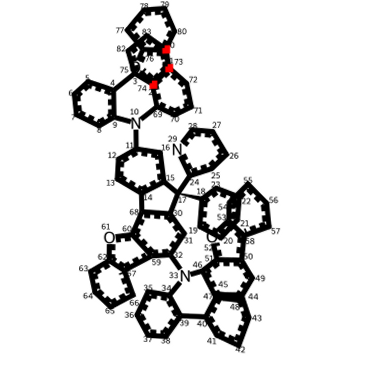 c1ccc(-c2ccccc2N(c2ccc3c(c2)[C@](c2ccccc2)(c2ccccn2)c2cc(N(c4ccccc4-c4ccccc4)c4cccc5c4oc4ccccc45)c4c(oc5ccccc54)c2-3)c2cccc3c2oc2ccccc23)cc1